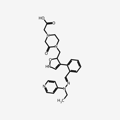 CCN(N=Cc1ccccc1C1=CNOC1CN1CCN(CC(=O)O)CC1=O)c1ccncc1